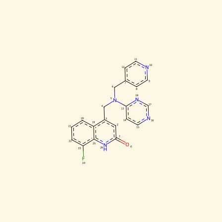 O=c1cc(CN(Cc2ccncc2)c2ccncn2)c2cccc(F)c2[nH]1